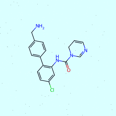 NCc1ccc(-c2ccc(Cl)cc2NC(=O)N2C=NC=CC2)cc1